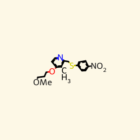 COCCCOc1ccnc(CSc2ccc([N+](=O)[O-])cc2)c1C